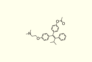 CC(=O)Oc1ccc(C(=C(c2ccccc2)C(C)C)c2ccc(OCCN(C)C)cc2)cc1